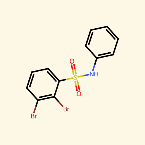 O=S(=O)(Nc1ccccc1)c1cccc(Br)c1Br